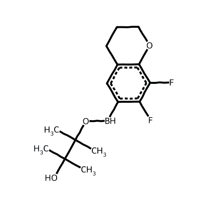 CC(C)(O)C(C)(C)OBc1cc2c(c(F)c1F)OCCC2